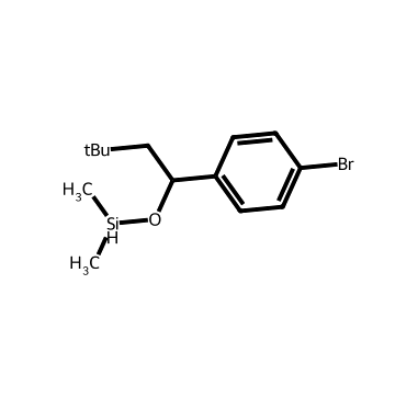 C[SiH](C)OC(CC(C)(C)C)c1ccc(Br)cc1